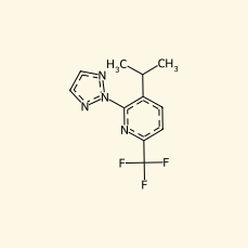 CC(C)c1ccc(C(F)(F)F)nc1-n1nccn1